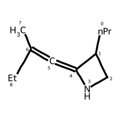 CCCC1CNC1=C=C(C)CC